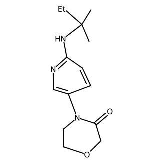 CCC(C)(C)Nc1ccc(N2CCOCC2=O)cn1